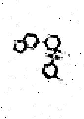 CC1(S(=O)(=O)c2cccc(C(F)(F)F)c2)CCO[C@@H](c2ccc3c(c2)CCO3)C1